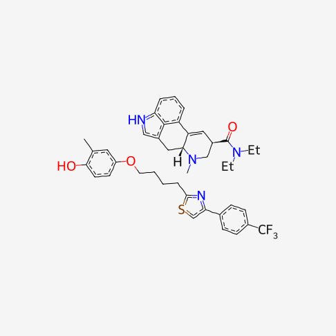 CCN(CC)C(=O)[C@@H]1C=C2c3cccc4[nH]cc(c34)C[C@H]2N(C)C1.Cc1cc(OCCCCc2nc(-c3ccc(C(F)(F)F)cc3)cs2)ccc1O